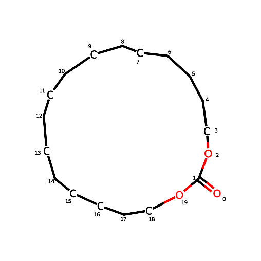 O=C1OCCCCCCCCCCCCCCCCO1